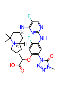 CC(Oc1cc(F)c(Nc2ncc(F)c(N[C@@H]3C[C@@H]4CCCN4C(C)(C)C3)n2)cc1-n1nnn(C)c1=O)C(=O)O